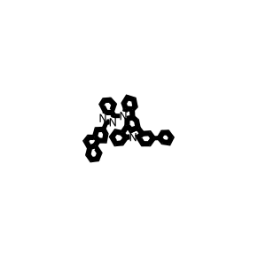 c1ccc(-c2ccc3c(c2)c2cc4c5ccccc5n(-c5nc(-c6ccc7c(ccc8ccccc87)c6)nc6ccccc56)c4c4c5ccccc5n3c24)cc1